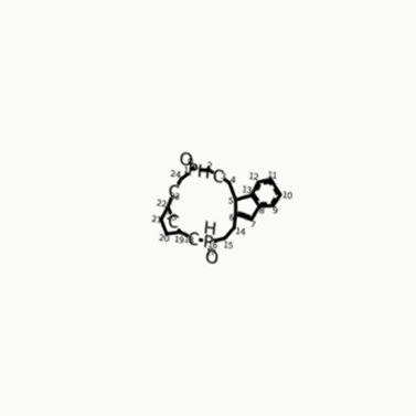 O=[PH]1CCCC2C(=Cc3ccccc32)CC[PH](=O)CC2CCC(CC1)C2